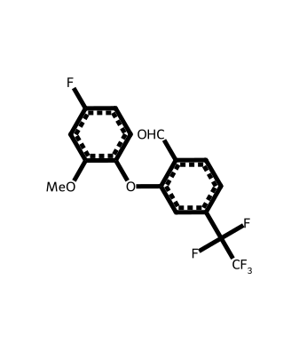 COc1cc(F)ccc1Oc1cc(C(F)(F)C(F)(F)F)ccc1C=O